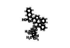 C[C@@H]1[C@H]2C[C@@H](C[C@H]1OC(=O)N1c3ccccc3C[C@@H]1C(=O)N1C(C(=O)N3Cc4ccccc4C[C@@H]3C(=O)O)CCC1c1ccccc1)C2(C)C